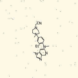 CCc1cc([N+]2(C)CCN(CC#N)CC2)ccc1N(C)c1cc2c(cn1)ncn2C